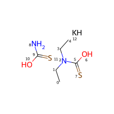 CCN(CC)C(O)=S.NC(O)=S.[KH]